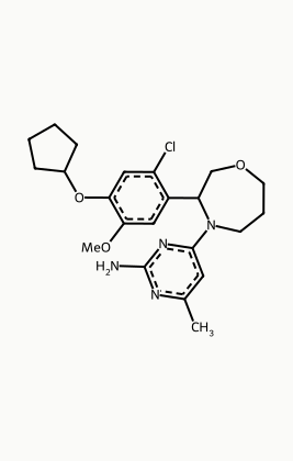 COc1cc(C2COCCCN2c2cc(C)nc(N)n2)c(Cl)cc1OC1CCCC1